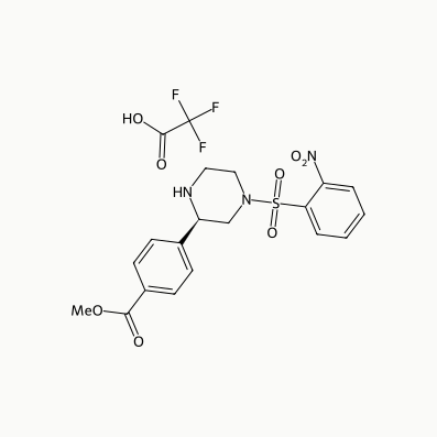 COC(=O)c1ccc([C@@H]2CN(S(=O)(=O)c3ccccc3[N+](=O)[O-])CCN2)cc1.O=C(O)C(F)(F)F